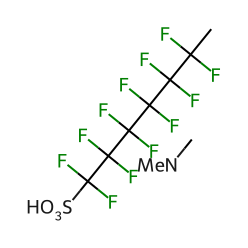 CC(F)(F)C(F)(F)C(F)(F)C(F)(F)C(F)(F)C(F)(F)S(=O)(=O)O.CNC